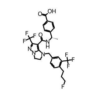 C[C@H](NC(=O)c1c(C(F)(F)F)nn2c1N(Cc1ccc(CCCF)c(C(F)(F)F)c1)CC2)c1ccc(C(=O)O)cc1